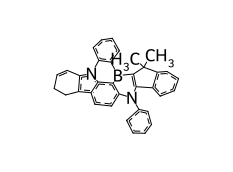 CC1(C)C2=C(c3ccccc31)N(c1ccccc1)c1ccc3c4c(n5c3c1B2c1ccccc1-5)C=CCC4